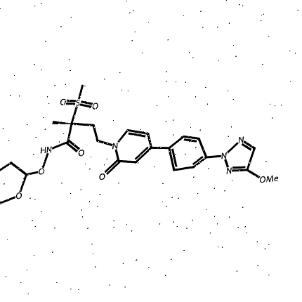 COc1cnn(-c2ccc(-c3ccn(CC[C@](C)(C(=O)NOC4CCCCO4)S(C)(=O)=O)c(=O)c3)cc2)n1